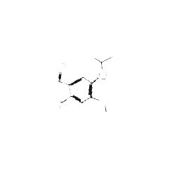 COc1cc(I)c(C=O)cc1OC(C)C